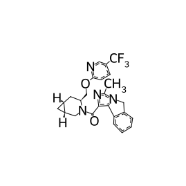 Cc1nc(C(=O)N2C[C@@H]3C[C@@H]3C[C@H]2COc2ccc(C(F)(F)F)cn2)c2n1Cc1ccccc1-2